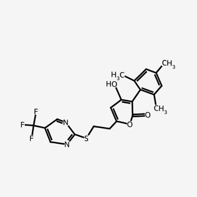 Cc1cc(C)c(-c2c(O)cc(CCSc3ncc(C(F)(F)F)cn3)oc2=O)c(C)c1